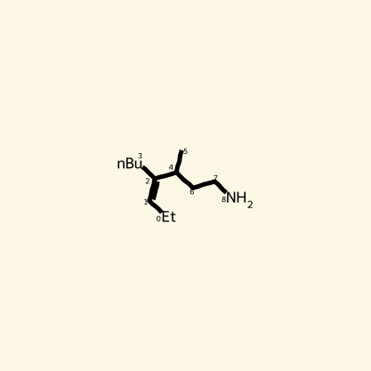 CC/C=C(/CCCC)C(C)CCN